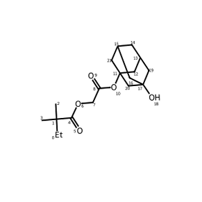 CCC(C)(C)C(=O)OCC(=O)OC12CC3CC(CC(O)(C3)C1)C2